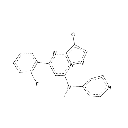 CN(c1ccncc1)c1cc(-c2ccccc2F)nc2c(Cl)cnn12